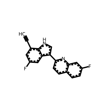 C#Cc1cc(F)cc2c(-c3ccc4ccc(F)cc4n3)c[nH]c12